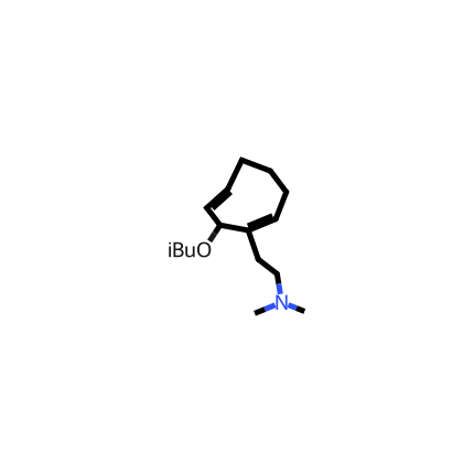 CC(C)COC1/C=C/CCC/C=C\1CCN(C)C